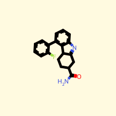 NC(=O)C1CCC2C(=Nc3cccc(-c4ccccc4F)c32)C1